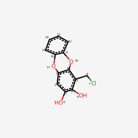 Oc1cc2c(c(CCl)c1O)Oc1ccccc1O2